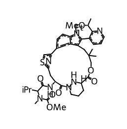 CCn1c(-c2cccnc2[C@H](C)OC)c2c3cc(ccc31)-c1csc(n1)C[C@H](NC(=O)C(C(C)C)N(C)C(=O)OC)C(=O)N1CCC[C@H](N1)C(=O)OCC(C)(C)C2